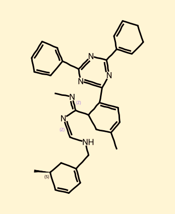 C/N=C(\N=C/NCC1=CC=C[C@@H](C)C1)C1CC(C)=CC=C1c1nc(C2=CCCC=C2)nc(-c2ccccc2)n1